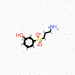 NCCCS(=O)(=O)c1cccc(O)c1